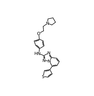 c1cc(-c2ccsc2)n2nc(Nc3ccc(OCCN4CCCC4)cc3)nc2c1